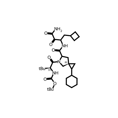 CC(C)(C)OC(=O)N[C@H](C(=O)N1C[C@@]2(CC1C(=O)NC(CC1CCC1)C(=O)C(N)=O)CC2C1CCCCC1)C(C)(C)C